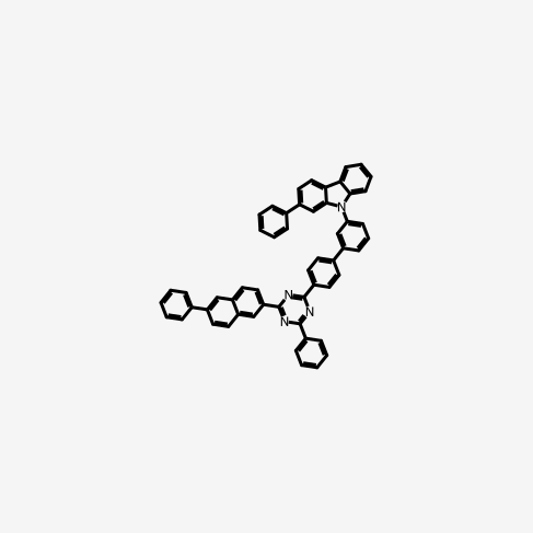 c1ccc(-c2ccc3cc(-c4nc(-c5ccccc5)nc(-c5ccc(-c6cccc(-n7c8ccccc8c8ccc(-c9ccccc9)cc87)c6)cc5)n4)ccc3c2)cc1